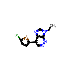 CCn1cnc2c(-c3ccc(Br)s3)cnnc21